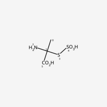 CC(N)(SS(=O)(=O)O)C(=O)O